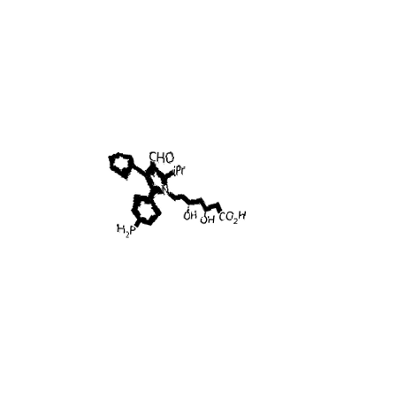 CC(C)c1c(C=O)c(-c2ccccc2)c(-c2ccc(P)cc2)n1CC[C@@H](O)C[C@@H](O)CC(=O)O